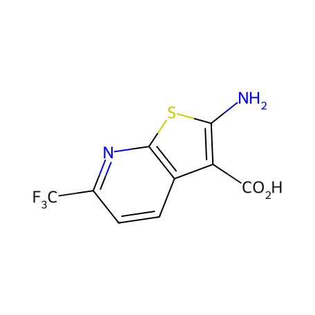 Nc1sc2nc(C(F)(F)F)ccc2c1C(=O)O